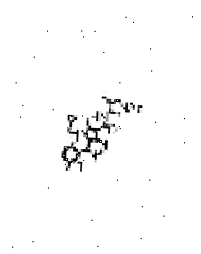 CC(=O)N1C[C@@H](F)[C@@H](NC(=O)c2c(C)[nH]c3c(-c4c(OCC5CC5)ccc(C)c4F)ncnc23)C1